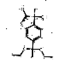 CCOC(C)(OCC)c1ccc(C(C)(O)C(=O)O)cc1